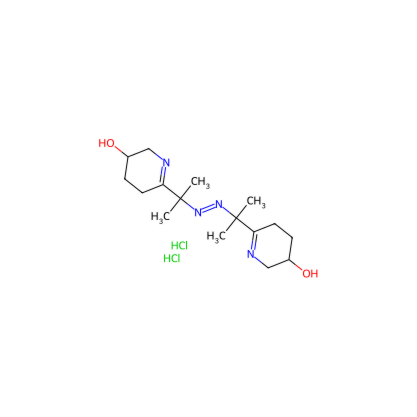 CC(C)(N=NC(C)(C)C1=NCC(O)CC1)C1=NCC(O)CC1.Cl.Cl